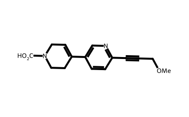 COCC#Cc1ccc(C2=CCN(C(=O)O)CC2)cn1